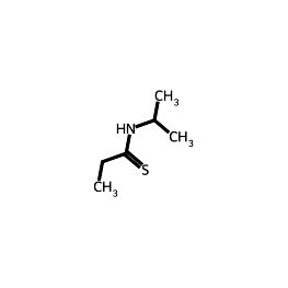 CCC(=S)NC(C)C